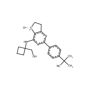 CC(C)(C#N)c1ccc(-c2nc3c(c(NC4(CO)CCC4)n2)[S@+]([O-])CC3)cc1